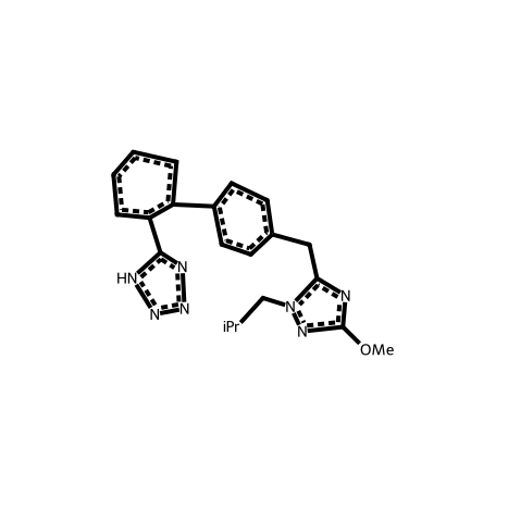 COc1nc(Cc2ccc(-c3ccccc3-c3nnn[nH]3)cc2)n(CC(C)C)n1